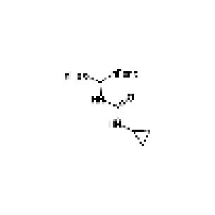 CCCCCCC(CCCCC)NC(=O)NC1CC1